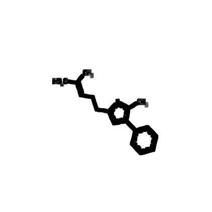 CC(=CCCc1cc(-c2ccccc2)c(C)s1)C(=O)O